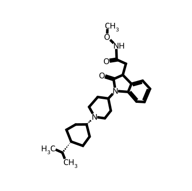 CONC(=O)CC1C(=O)N(C2CCN([C@H]3CC[C@@H](C(C)C)CC3)CC2)c2ccccc21